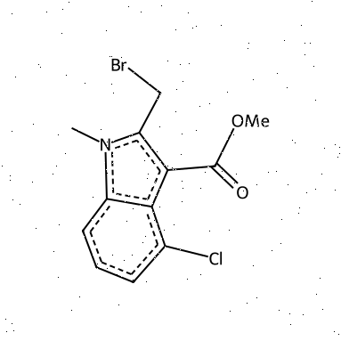 COC(=O)c1c(CBr)n(C)c2cccc(Cl)c12